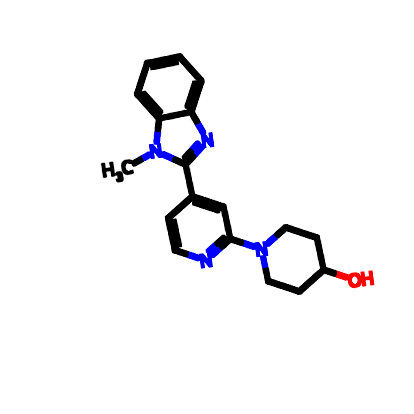 Cn1c(-c2ccnc(N3CCC(O)CC3)c2)nc2ccccc21